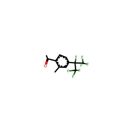 CC(=O)c1ccc(C(F)(C(F)(F)F)C(F)(F)F)cc1C